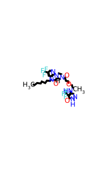 CCCCCCCCN1C(=O)[C@@H]2CN(C(=O)CCOC[C@H](C)Nc3cn[nH]c(=O)c3C(F)(F)F)CCN2c2ncc(C(F)(F)F)cc21